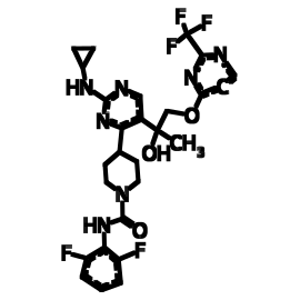 CC(O)(COc1ccnc(C(F)(F)F)n1)c1cnc(NC2CC2)nc1C1CCN(C(=O)Nc2c(F)cccc2F)CC1